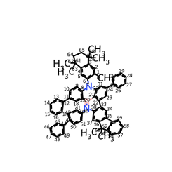 Cc1cc2c(cc1N1c3ccc(-c4ccccc4)cc3B3c4c(cc(-c5ccccc5)cc41)-c1cc4c(cc1N3c1ccc(-c3ccccc3)cc1)C(C)(C)c1ccccc1-4)C(C)(C)CCC2(C)C